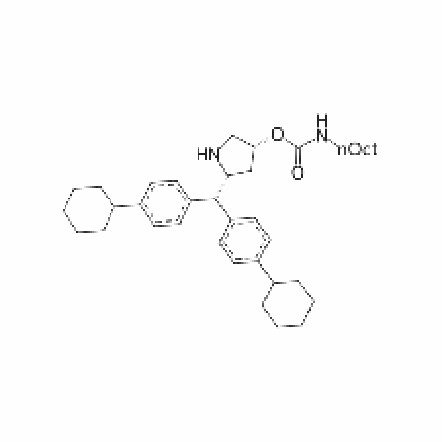 CCCCCCCCNC(=O)O[C@H]1CN[C@@H](C(c2ccc(C3CCCCC3)cc2)c2ccc(C3CCCCC3)cc2)C1